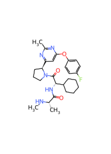 CN[C@@H](C)C(=O)N[C@H](C(=O)N1CCC[C@H]1c1cc(Oc2ccc(F)cc2)nc(C)n1)C1CCCCC1